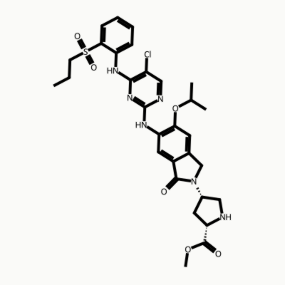 CCCS(=O)(=O)c1ccccc1Nc1nc(Nc2cc3c(cc2OC(C)C)CN([C@@H]2CN[C@H](C(=O)OC)C2)C3=O)ncc1Cl